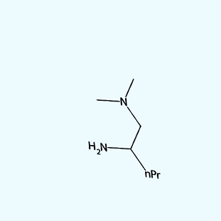 CCCC(N)CN(C)C